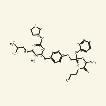 CCCOC(=O)[C@H](C)NP(=O)(COc1ccc(C[C@H](NC(=O)O[C@H]2CCOC2)[C@H](O)CNCC(C)C)cc1)Oc1ccccc1